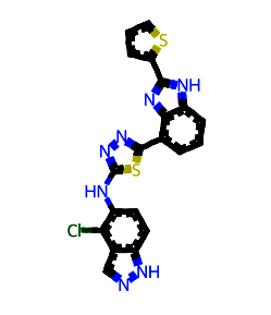 Clc1c(Nc2nnc(-c3cccc4[nH]c(-c5cccs5)nc34)s2)ccc2[nH]ncc12